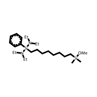 CCN(CC)[Si](CCCCCCCC[Si](C)(C)OC)(c1ccccc1)N(CC)CC